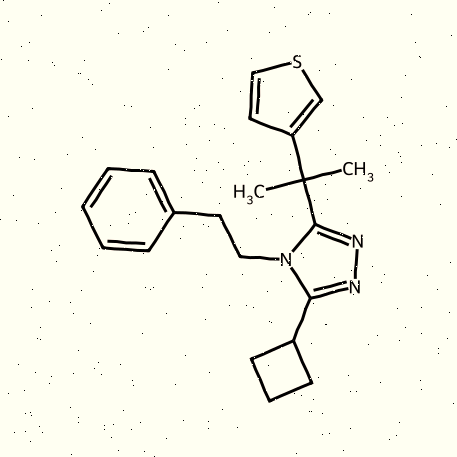 CC(C)(c1ccsc1)c1nnc(C2CCC2)n1CCc1ccccc1